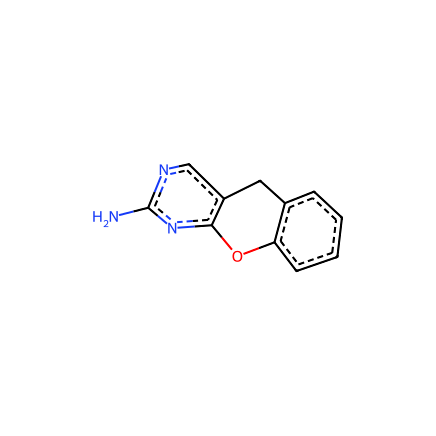 Nc1ncc2c(n1)Oc1ccccc1C2